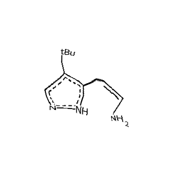 CC(C)(C)c1cn[nH]c1/C=C\N